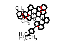 CC1CC2CC(C)N(c3ccc4c(c3)N(c3c(-c5ccccc5)cccc3-c3ccccc3)c3cc(-c5ccccc5)cc5c3B4c3cc(-c4ccc(C(C)(C)C)cc4)ccc3N5c3c(-c4ccccc4)cccc3-c3ccccc3)C(C1)C2